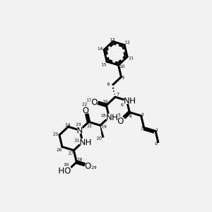 C/C=C/CC(=O)N[C@@H](CCc1ccccc1)C(=O)N[C@@H](C)C(=O)N1CCCC(C(=O)O)N1